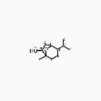 CC(C)C1CCC2(C)OC1CC2O